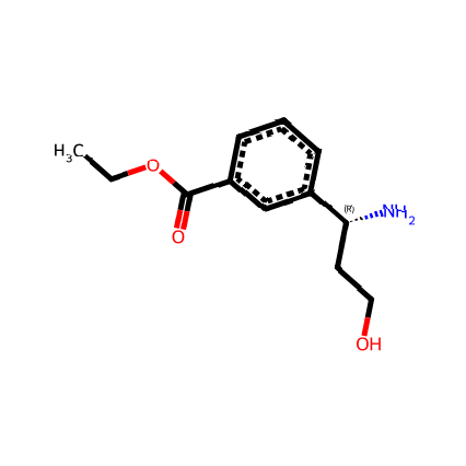 CCOC(=O)c1cccc([C@H](N)CCO)c1